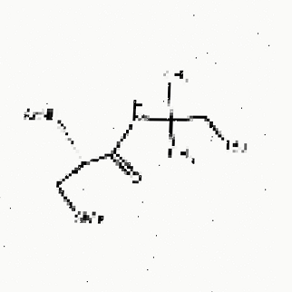 CSC[C@H](NC(C)=O)C(=O)NC(C)(C)CC(C)(C)C